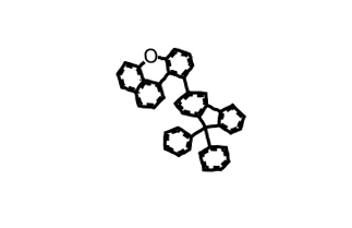 c1ccc(C2(c3ccccc3)c3ccccc3-c3cc(-c4cccc5c4-c4cccc6cccc(c46)O5)ccc32)cc1